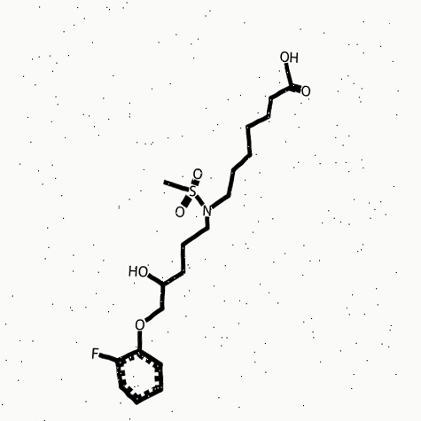 CS(=O)(=O)N(CCCCCCC(=O)O)CCCC(O)COc1ccccc1F